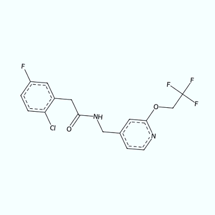 O=C(Cc1cc(F)ccc1Cl)NCc1ccnc(OCC(F)(F)F)c1